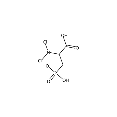 O=C(O)C(CP(=O)(O)O)N(Cl)Cl